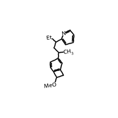 CCC(CC(C)c1ccc2c(c1)CC2OC)c1ccccn1